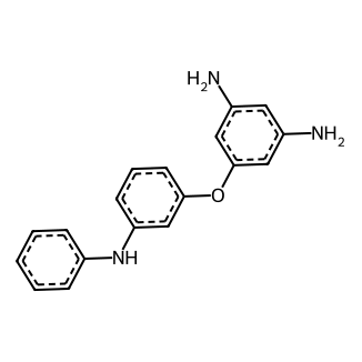 Nc1cc(N)cc(Oc2cccc(Nc3ccccc3)c2)c1